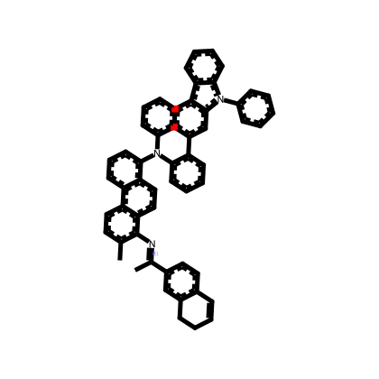 C/C(=N\c1c(C)ccc2c1ccc1c(N(c3ccccc3)c3ccccc3-c3ccc4c5ccccc5n(-c5ccccc5)c4c3)cccc12)c1ccc2c(c1)CCC=C2